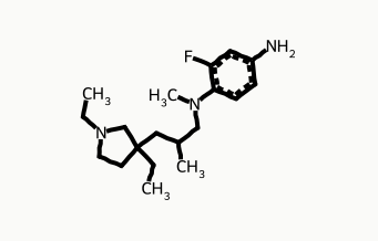 CCN1CCC(CC)(CC(C)CN(C)c2ccc(N)cc2F)C1